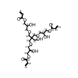 C=CC(=O)OCC(O)COCC(CO)(COCC(O)COC(=O)C=C)COCC(O)COC(=O)C=C